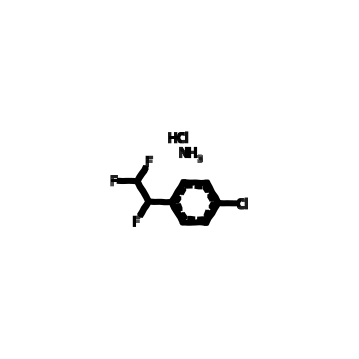 Cl.FC(F)C(F)c1ccc(Cl)cc1.N